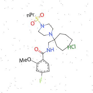 CCCS(=O)(=O)N1CCN(C2(CNC(=O)c3ccc(F)cc3OC)CCCCCC2)CC1.Cl